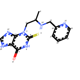 CC(Cn1c(=S)[nH]c(=O)c2[nH]cnc21)NCc1ccccn1